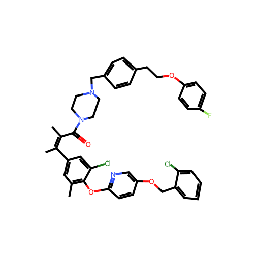 C/C(C(=O)N1CCN(Cc2ccc(CCOc3ccc(F)cc3)cc2)CC1)=C(\C)c1cc(C)c(Oc2ccc(OCc3ccccc3Cl)cn2)c(Cl)c1